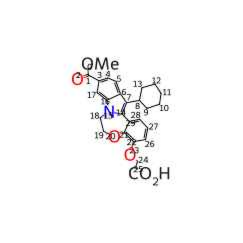 COC(=O)c1ccc2c(C3CCCCC3)c3n(c2c1)CCOc1c(OCC(=O)O)cccc1-3